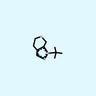 CC(C)(C)n1ncc2c1COCC2